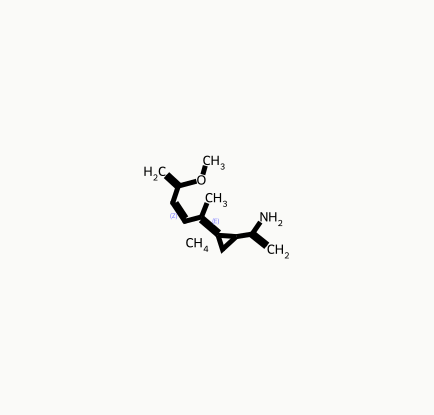 C.C=C(/C=C\C(C)=C1/CC1C(=C)N)OC